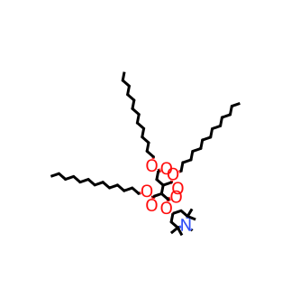 CCCCCCCCCCCCCOC(=O)CC(C(=O)OCCCCCCCCCCCCC)C(C(=O)OCCCCCCCCCCCCC)C(=O)OC1CC(C)(C)N(C)C(C)(C)C1